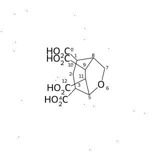 O=C(O)C1CC(C(=O)O)C2OCC1C(C(=O)O)C2C(=O)O